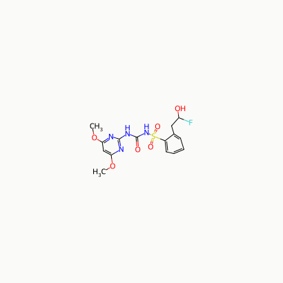 COc1cc(OC)nc(NC(=O)NS(=O)(=O)c2ccccc2CC(O)F)n1